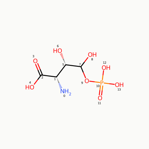 N[C@H](C(=O)O)[C@H](O)C(O)OP(=O)(O)O